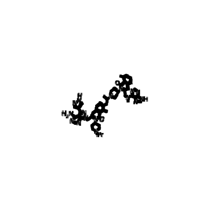 Cc1cccc2cc(CN(C)c3ncnc4[nH]cnc34)n(C3CCN(C(C)Cc4ccc5cc(Cn6nc(-c7cn[nH]c7)c7c(N)ncnc76)n(C6CCN(C(C)C)CC6)c(=O)c5c4C)CC3)c(=O)c12